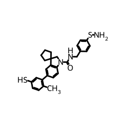 Cc1ccc(S)cc1-c1ccc2c(c1)C1(CCCC1)CN2C(=O)NCc1ccc(SN)cc1